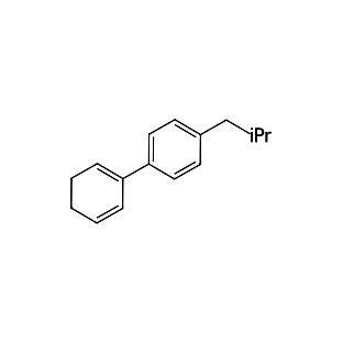 CC(C)Cc1ccc(C2=CCCC=C2)cc1